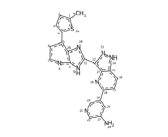 Cc1ccc(-c2ccnc3[nH]c(-c4n[nH]c5ccc(-c6cncc(N)c6)nc45)nc23)s1